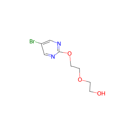 OCCOCCOc1ncc(Br)cn1